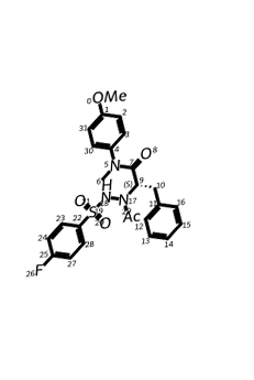 COc1ccc(N(C)C(=O)[C@H](Cc2ccccc2)N(NS(=O)(=O)c2ccc(F)cc2)C(C)=O)cc1